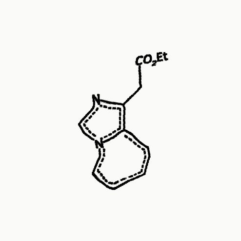 CCOC(=O)Cc1ncn2ccccc12